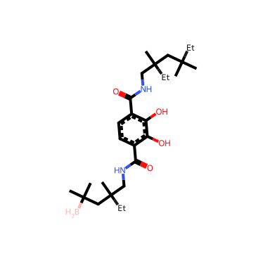 BC(C)(C)CC(C)(CC)CNC(=O)c1ccc(C(=O)NCC(C)(CC)CC(C)(C)CC)c(O)c1O